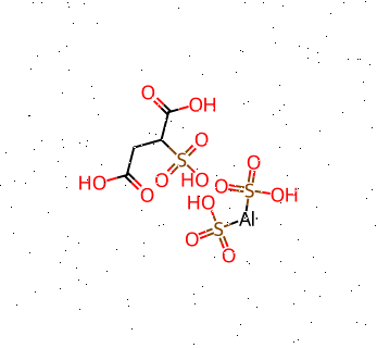 O=C(O)CC(C(=O)O)S(=O)(=O)O.O=[S](=O)(O)[Al][S](=O)(=O)O